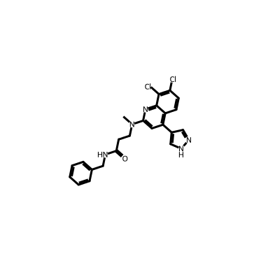 CN(CCC(=O)NCc1ccccc1)c1cc(-c2cn[nH]c2)c2ccc(Cl)c(Cl)c2n1